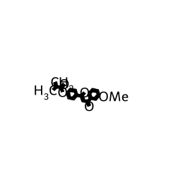 C=C(C)C(=O)Oc1ccc(-c2cc(=O)c3cc(OC)ccc3o2)cc1